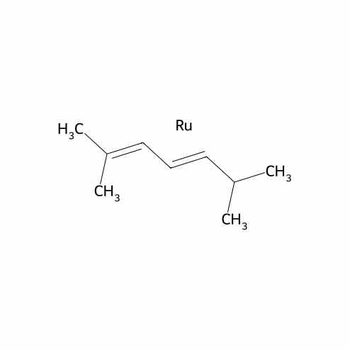 CC(C)=CC=CC(C)C.[Ru]